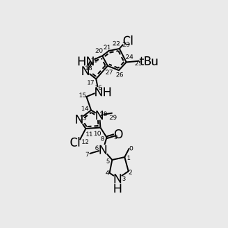 CC1CNCC1N(C)C(=O)c1c(Cl)nc(CNc2n[nH]c3cc(Cl)c(C(C)(C)C)cc23)n1C